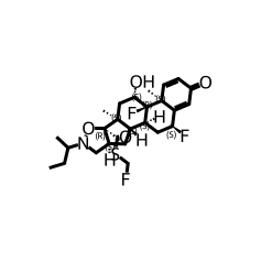 CCC(C)N1C[C@@H]2C[C@H]3[C@@H]4C[C@H](F)C5=CC(=O)C=C[C@]5(C)[C@@]4(F)[C@@H](O)C[C@]3(C)[C@]2(C(=O)SCF)O1